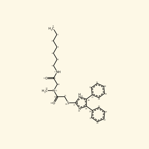 CCCCCCCNC(=O)CN(C)C(=O)CSc1nc(-c2ccccc2)c(-c2ccccc2)[nH]1